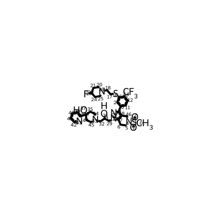 CS(=O)(=O)N1CCc2c(c(-c3ccc(C(F)(F)F)c(SCCN4CCC(F)CC4)c3)nn2C[C@H](O)CN2CCC(O)(c3ccccn3)CC2)C1